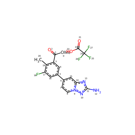 COC(=O)c1cc(-c2ccn3nc(N)nc3c2)cc(F)c1C.O=C(O)C(F)(F)F